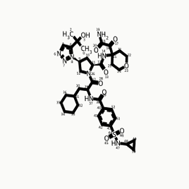 CC(C)(O)c1cnnn1[C@H]1C[C@@H](C(=O)NC2(C(=O)C(N)=O)CCOCC2)N(C(=O)C(CC2CCCCC2)NC(=O)c2ccc(S(=O)(=O)NC3CC3)cc2)C1